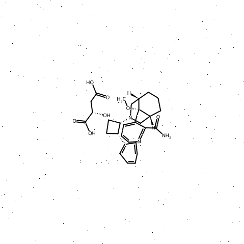 CO[C@@]1(c2cccnc2C(N)=O)[C@@H]2CCC[C@H]1CN([C@H]1CC[C@H]1c1ccccc1)C2.O=C(O)C[C@H](O)C(=O)O